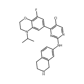 CC(C)N1CCOc2c(F)cc(-c3nc(Nc4ccc5c(c4)CNCC5)ncc3Cl)cc21